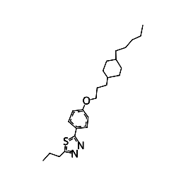 CCCCCC1CCC(CCCOc2ccc(-c3nnc(CCC)s3)cc2)CC1